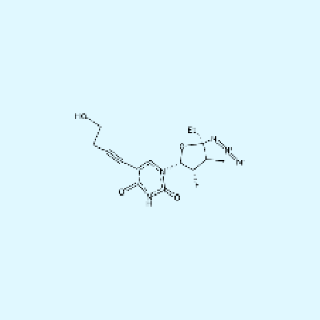 CC[C@@]1(N=[N+]=[N-])O[C@@H](n2cc(C#CCCO)c(=O)[nH]c2=O)[C@@H](F)[C@@H]1C